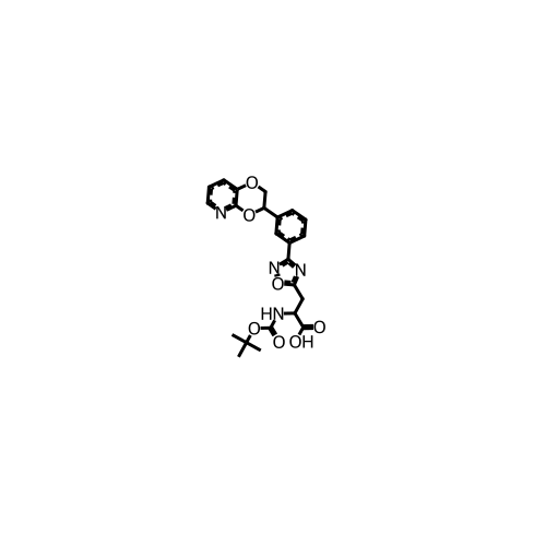 CC(C)(C)OC(=O)NC(Cc1nc(-c2cccc(C3COc4cccnc4O3)c2)no1)C(=O)O